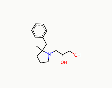 CC1(Cc2ccccc2)CCCN1C[C@@H](O)CO